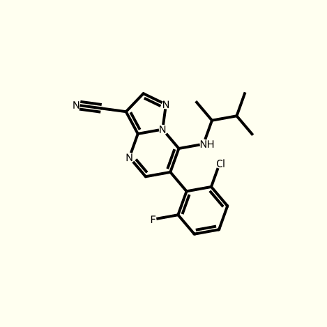 CC(C)C(C)Nc1c(-c2c(F)cccc2Cl)cnc2c(C#N)cnn12